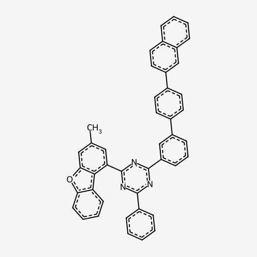 Cc1cc(-c2nc(-c3ccccc3)nc(-c3cccc(-c4ccc(-c5ccc6ccccc6c5)cc4)c3)n2)c2c(c1)oc1ccccc12